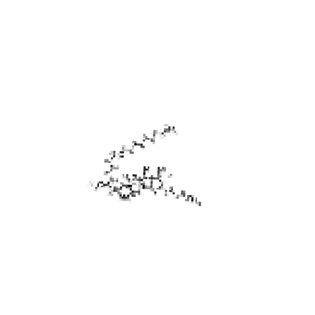 C=C1Nc2c(N)nc(CCCCC)nc2N1Cc1ccc(CN(C)CCCCCOCCCCCCCCC)nc1